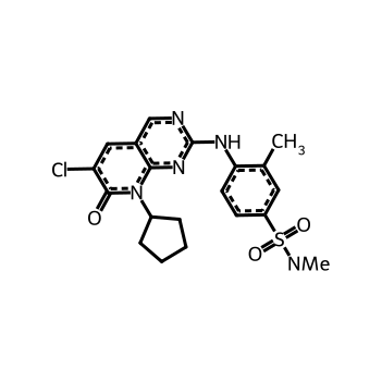 CNS(=O)(=O)c1ccc(Nc2ncc3cc(Cl)c(=O)n(C4CCCC4)c3n2)c(C)c1